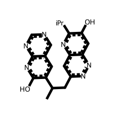 CC(C)c1nc2cc(CC(C)c3cc4cncnc4nc3O)nnc2cc1O